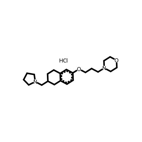 Cl.c1cc2c(cc1OCCCN1CCOCC1)CCC(CN1CCCC1)C2